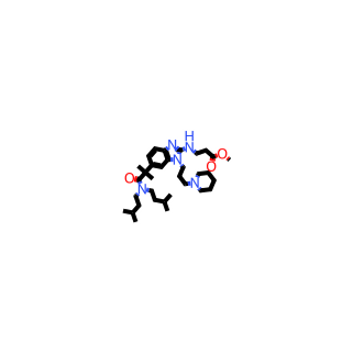 COC(=O)CCNc1nc2ccc(C(C)(C)C(=O)N(CCC(C)C)CCC(C)C)cc2n1CCCN1CCCCC1